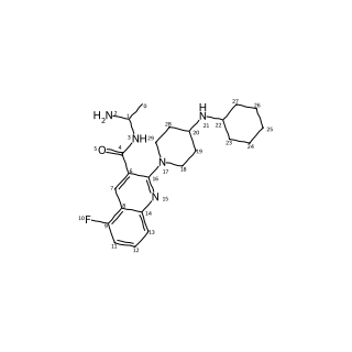 CC(N)NC(=O)c1cc2c(F)cccc2nc1N1CCC(NC2CCCCC2)CC1